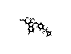 Cc1c(CC(=O)O)c2cc(F)ccc2n1Cc1ccc(S(=O)(=O)N2CCC2)cc1